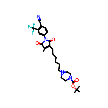 CC1=C(CCCCCCN2CCN(C(=O)OC(C)(C)C)CC2)C(=O)N(c2ccc(C#N)c(C(F)(F)F)c2)C1=O